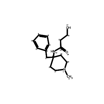 CN1CCC(Cc2ccccc2)(NC(=O)CCO)CC1